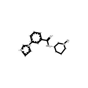 CCN1CCC[C@H](NC(=O)c2cccc(-n3ccnc3)c2)C1